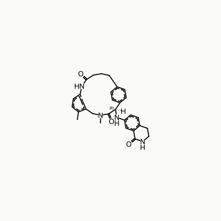 Cc1ccc2cc1CN(C)C(=O)[C@H](Nc1ccc3c(c1)C(=O)NCC3)c1ccc(cc1)CCCC(=O)N2